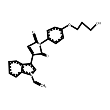 C=Cn1cc(C2=CC(=O)N(c3ccc(OCCCO)cc3)C2=O)c2ccccc21